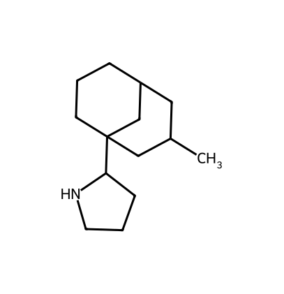 CC1CC2CCCC(C3CCCN3)(C1)C2